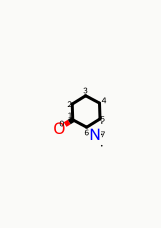 O=C1CCCCC1.[N]